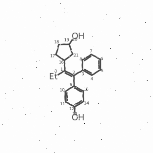 CCC(=C(c1ccccc1)c1ccc(O)cc1)C1CCC(O)C1